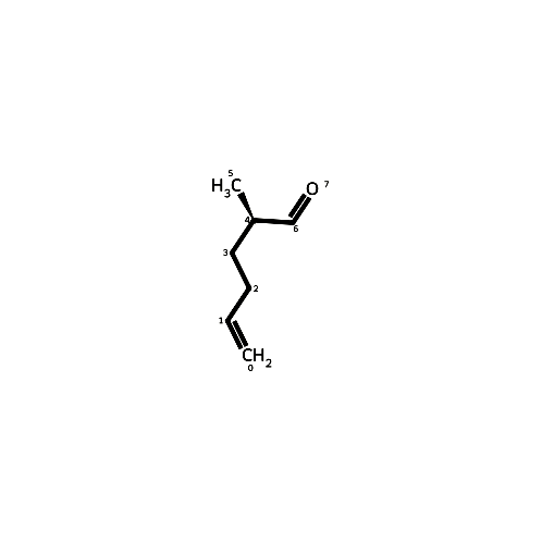 C=CCC[C@@H](C)C=O